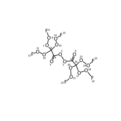 O=C(OOC(=O)C(OOF)(OOF)OOF)C(OOF)(OOF)OOF